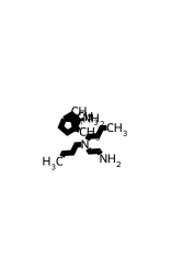 CC1(C)C2CCC1(C)[C@H](N)C2.CCCCN(CCN)CCCC